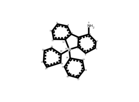 Nc1cccc2c1-c1ccccc1[Si]2(c1ccccc1)c1ccccc1